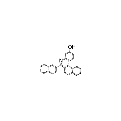 Oc1ccc2c(c1)nc(-c1ccc3ccccc3c1)c1ccc3ccccc3c12